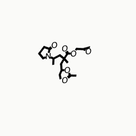 CCC(CC(C)(CC(C)N1CCCC1=O)C(=O)OCC1CO1)OC(C)=O